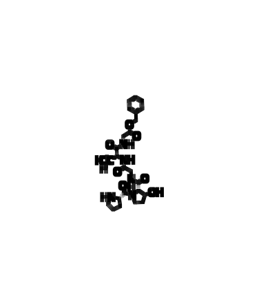 C[C@H](NC(=O)CNC(=O)[C@@H]1C(O)CCN1C(=O)[C@@H]1CCCN1)C(=O)NCC(=O)OCc1ccccc1.Cl